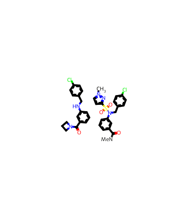 CNC(=O)c1cccc(N(Cc2ccc(Cl)cc2)S(=O)(=O)c2ccn(C)n2)c1.O=C(c1cccc(NCc2ccc(Cl)cc2)c1)N1CCC1